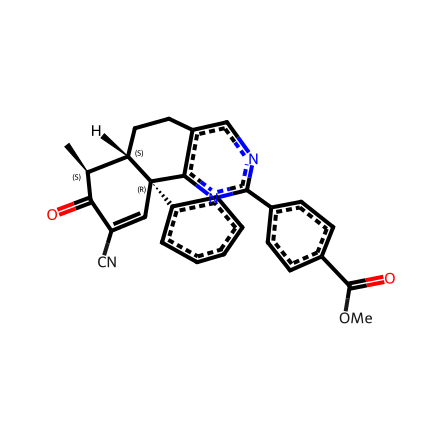 COC(=O)c1ccc(-c2ncc3c(n2)[C@@]2(c4ccccc4)C=C(C#N)C(=O)[C@@H](C)[C@@H]2CC3)cc1